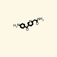 NC(=O)Cc1ccc(C(=O)c2ccc(N)cc2)cn1